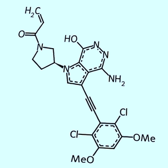 C=CC(=O)N1CC[C@H](n2cc(C#Cc3c(Cl)c(OC)cc(OC)c3Cl)c3c(N)nnc(O)c32)C1